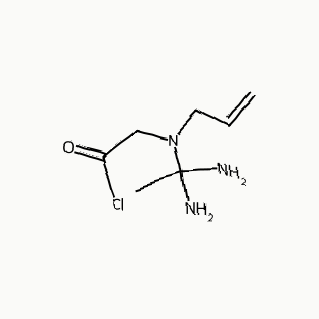 C=CCN(CC(=O)Cl)C(C)(N)N